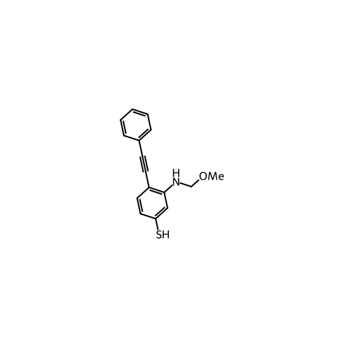 COCNc1cc(S)ccc1C#Cc1ccccc1